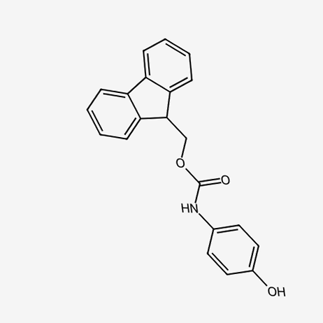 O=C(Nc1ccc(O)cc1)OCC1c2ccccc2-c2ccccc21